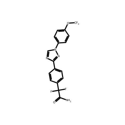 NC(=O)C(F)(F)c1ccc(-c2ncn(-c3ccc(OC(F)(F)F)cc3)n2)cc1